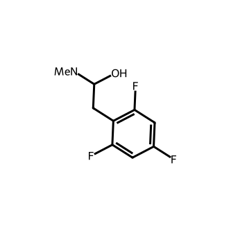 CNC(O)Cc1c(F)cc(F)cc1F